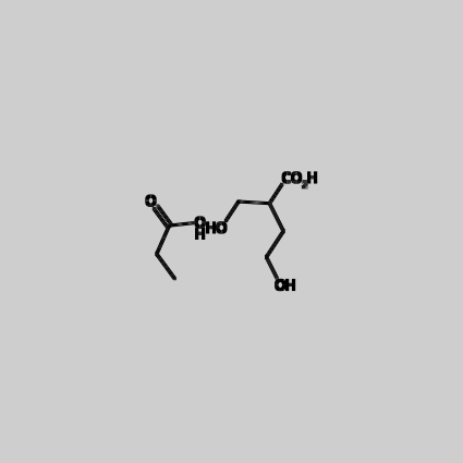 CCC(=O)O.O=C(O)C(CO)CCO